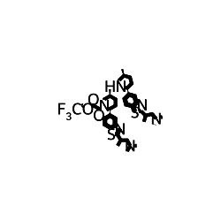 CC(CN(C)C)c1nc2cc([C@H]3CC[C@H](C)CN3)ccc2s1.CC(CN(C)C)c1nc2cc([C@H]3CC[C@H](C)CN3C(=O)C(=O)OCC(F)(F)F)ccc2s1